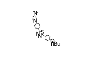 CCCCOc1ccc(-c2nnc(-c3ccc(N4CCC(N(C)C)C4)cc3)s2)cc1